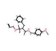 C=CCOC(C)(C)C(Cc1ccccc1)C(C)OCc1ccc(OC)cc1